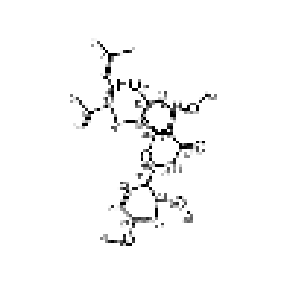 C=C(C)C(CC=C(C)C)Cc1c(O)cc(OC)c2c1O[C@H](C1C=CC(OC)=CC1OC)CC2=O